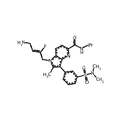 Cc1c(-c2cccc(S(=O)(=O)N(C)C)c2)c2nc(C(=O)NC(C)C)ccc2n1C/C(F)=C/CN